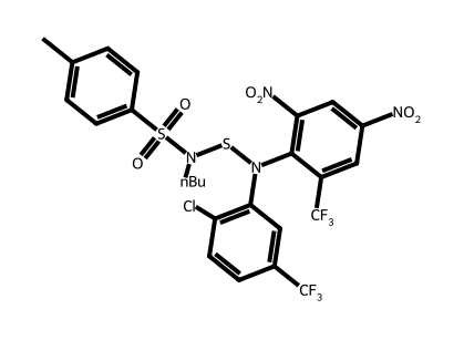 CCCCN(SN(c1cc(C(F)(F)F)ccc1Cl)c1c([N+](=O)[O-])cc([N+](=O)[O-])cc1C(F)(F)F)S(=O)(=O)c1ccc(C)cc1